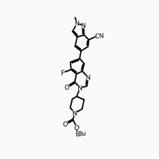 Cn1cc2cc(-c3cc(F)c4c(=O)n(C5CCN(C(=O)OC(C)(C)C)CC5)cnc4c3)cc(C#N)c2n1